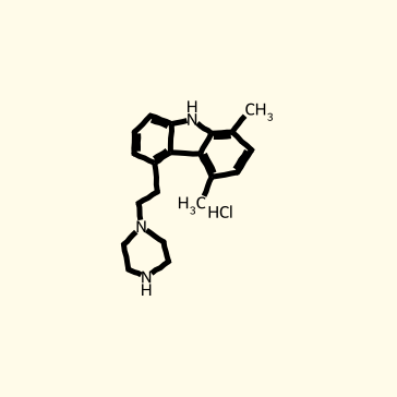 Cc1ccc(C)c2c1[nH]c1cccc(CCN3CCNCC3)c12.Cl